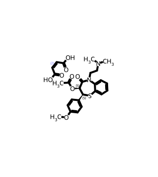 COc1ccc([C@@H]2Sc3ccccc3N(CCN(C)C)C(=O)[C@@H]2OC(C)=O)cc1.O=C(O)/C=C\C(=O)O